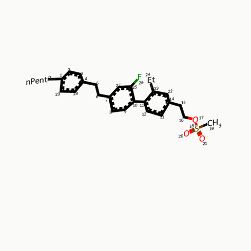 CCCCCc1ccc(CCc2ccc(-c3ccc(CCOS(C)(=O)=O)cc3CC)c(F)c2)cc1